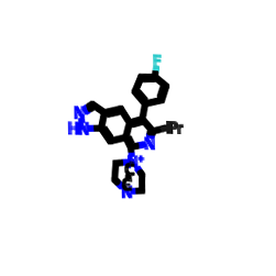 CC(C)c1nc([N+]23CCN(CC2)CC3)c2cc3[nH]ncc3cc2c1-c1ccc(F)cc1